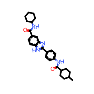 CC1CCC(C(=O)Nc2ccc(-c3nc4cc(C(=O)NC5CCCCC5)ccc4[nH]3)cc2)CC1